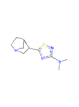 CN(C)c1nsc(C2CN3CCC2C3)n1